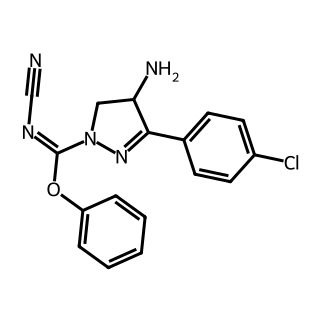 N#CN=C(Oc1ccccc1)N1CC(N)C(c2ccc(Cl)cc2)=N1